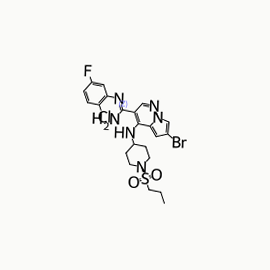 CCCS(=O)(=O)N1CCC(Nc2c(/C(N)=N/c3cc(F)ccc3Cl)cnn3cc(Br)cc23)CC1